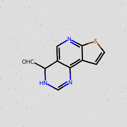 O=CC1NC=Nc2c1cnc1sccc21